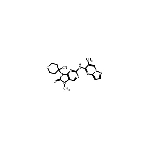 Cc1cn2nccc2nc1Nc1ncc2c(n1)n(C1(C#N)CCOCC1)c(=O)n2C